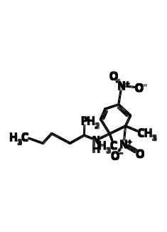 CCCCC(P)NC1(C)C=CC([N+](=O)[O-])=CC1(C)[N+](=O)[O-]